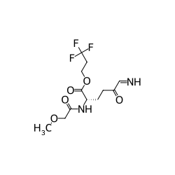 COCC(=O)N[C@@H](CCC(=O)C=N)C(=O)OCCC(F)(F)F